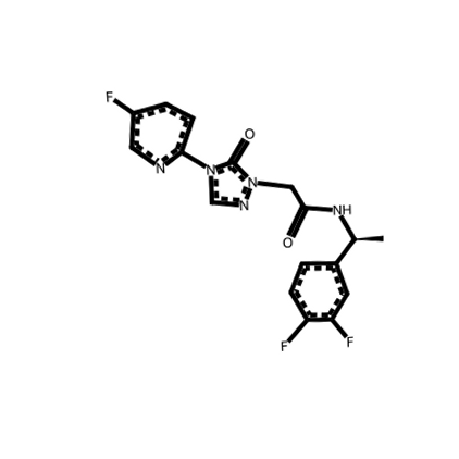 C[C@H](NC(=O)Cn1ncn(-c2ccc(F)cn2)c1=O)c1ccc(F)c(F)c1